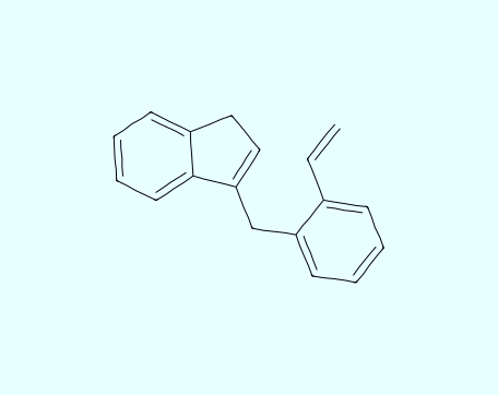 C=Cc1ccccc1CC1=CCc2ccccc21